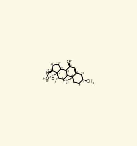 C[C@H]1CC[C@@]2(C)C(=CC(=O)C3C2CC[C@]2(C)/C(=N\O)CCC32)C1